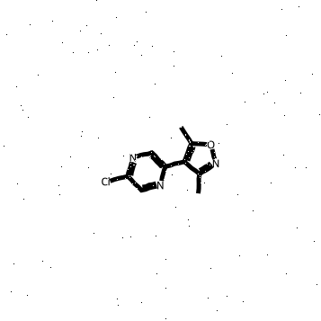 Cc1noc(C)c1-c1cnc(Cl)cn1